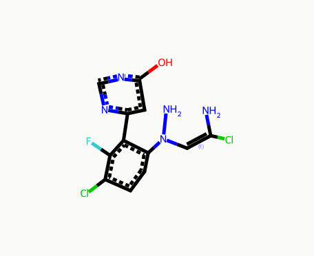 N/C(Cl)=C\N(N)c1ccc(Cl)c(F)c1-c1cc(O)ncn1